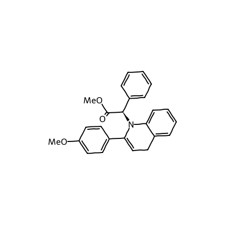 COC(=O)[C@@H](c1ccccc1)N1C(c2ccc(OC)cc2)=CCc2ccccc21